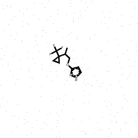 CC(COc1cc[nH]n1)C1(C(F)(F)F)CC1